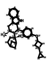 C[C@@H]1Cc2c([nH]c3ccccc23)[C@@H](c2ccc(OC3CN(C4CC4)C3)cc2)N1[C@@H]1CCC2CC1C2